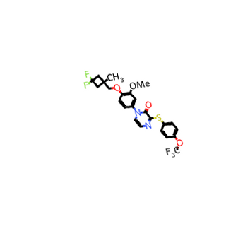 COc1cc(-n2ccnc(Sc3ccc(OC(F)(F)F)cc3)c2=O)ccc1OCC1(C)CC(F)(F)C1